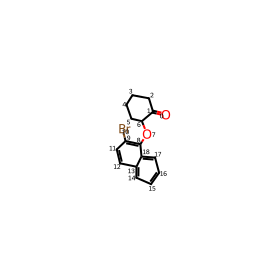 O=C1CCCCC1Oc1c(Br)ccc2ccccc12